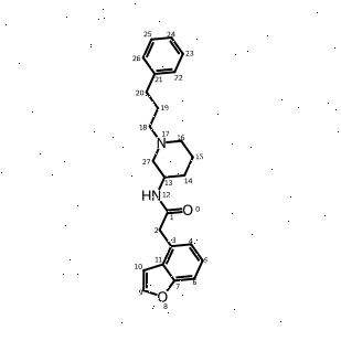 O=C(Cc1cccc2occc12)NC1CCCN(CCCc2ccccc2)C1